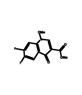 COC(=O)c1cn(OC)c2cc(F)c(F)cc2c1=O